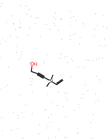 C=C[Si](C)(C)C#CCO